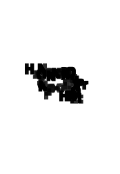 CC(C)N1CCC(Oc2ccc3c(n2)CCN(c2ccc(C(N)=O)cn2)C3)CC1.CCNC(=O)C1CC(F)(C2CCC(c3ccc(CN4CCCC4)c(F)c3)CC2)C1